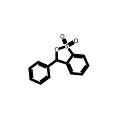 O=S1(=O)OC(c2ccccc2)c2ccccc21